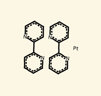 [Pt].c1ccc(-c2ccccn2)nc1.c1ccc(-c2ccccn2)nc1